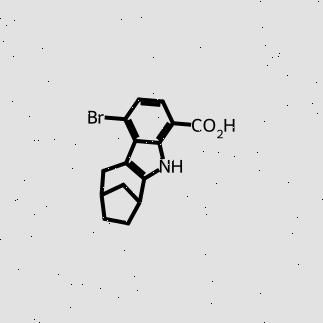 O=C(O)c1ccc(Br)c2c3c([nH]c12)C1CCC(C3)C1